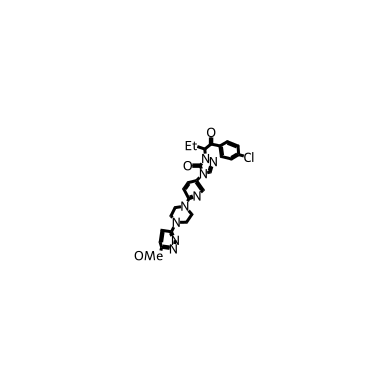 CCC(C(=O)c1ccc(Cl)cc1)n1ncn(-c2ccc(N3CCN(c4ccc(OC)nn4)CC3)nc2)c1=O